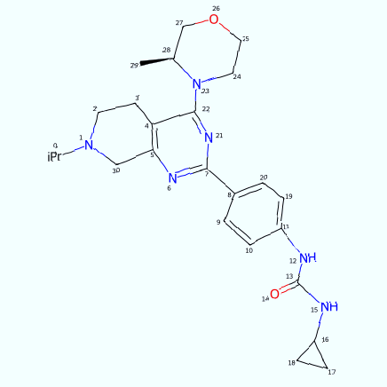 CC(C)N1CCc2c(nc(-c3ccc(NC(=O)NC4CC4)cc3)nc2N2CCOC[C@@H]2C)C1